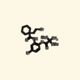 CSC(C)(SC)C(=O)Oc1ccc(Cl)cc1NC(=O)C1(CCC(C)C)CCCCC1